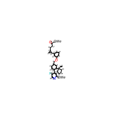 C=CC1(c2cc(COc3cccc(C4CC4CCC(=O)OC)c3)ccc2-c2cc(OC)ncc2F)CCCC1